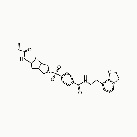 C=CC(=O)NC1CC2CN(S(=O)(=O)c3ccc(C(=O)NCCc4cccc5c4OCC5)cc3)CC2O1